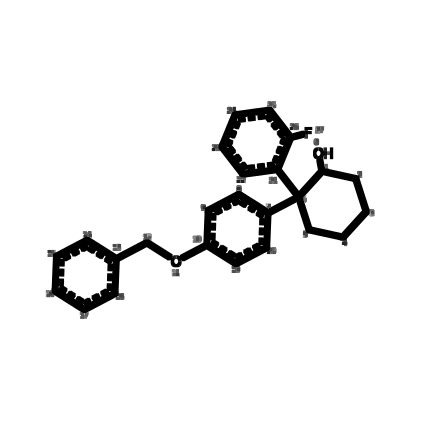 OC1CCCCC1(c1ccc(OCc2ccccc2)cc1)c1ccccc1F